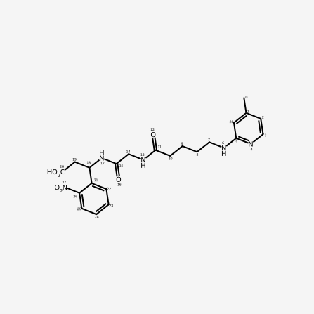 Cc1ccnc(NCCCCC(=O)NCC(=O)NC(CC(=O)O)c2ccccc2[N+](=O)[O-])c1